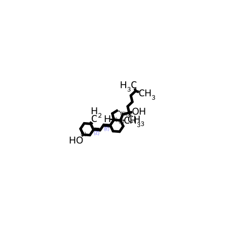 C=C1CC[C@H](O)C/C1=C/C=C1\CCC[C@@]2(C)[C@H]1CC[C@@H]2[C@@](C)(O)CCCC(C)C